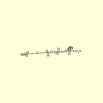 CC(C)(C)OC(=O)C(=O)CCCCCCCSCCCCCCCC(=O)NCCOCCOCC(=O)NCCOCCOCC(=O)NC(CCC(=O)O)C(=O)OC(C)(C)C